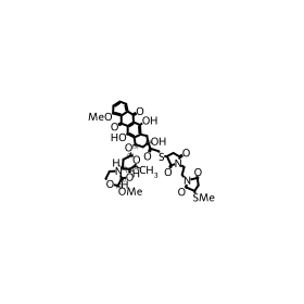 COc1cccc2c1C(=O)c1c(O)c3c(c(O)c1C2=O)C[C@@](O)(C(=O)CSC1CC(=O)N(CCN2C(=O)CC(SC)C2=O)C1=O)C[C@@H]3O[C@H]1C[C@H]2[C@H](O[C@@H]3[C@@H](OC)OCCN32)[C@H](C)O1